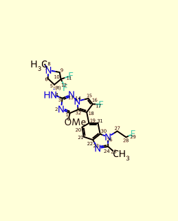 COc1nc(N[C@@H]2CN(C)CC2(F)F)nn2cc(F)c(-c3ccc4nc(C)n(CCF)c4c3)c12